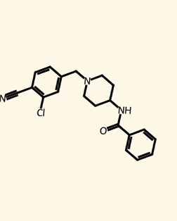 N#Cc1ccc(CN2CCC(NC(=O)c3ccccc3)CC2)cc1Cl